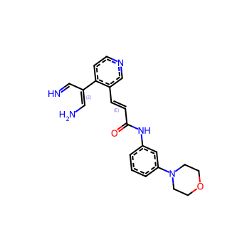 N=C/C(=C\N)c1ccncc1/C=C/C(=O)Nc1cccc(N2CCOCC2)c1